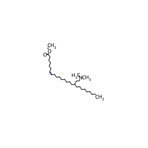 CCCCCCCCCC(CCCCCCCC/C=C\CCCCCC(=O)OCC)CCN(C)C